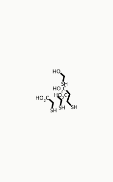 O=C(O)CCS.O=C(O)CS.O=C(O)CS.OCS